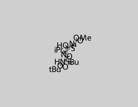 CC[C@H](C)[C@H](NC(=O)OC(C)(C)C)C(=O)N(C)[C@H](C[C@@H](O)c1nc(C(=O)OC)cs1)C(C)C